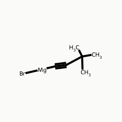 CC(C)(C)C#[C][Mg][Br]